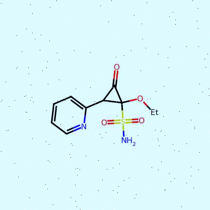 CCOC1(S(N)(=O)=O)C(=O)C1c1ccccn1